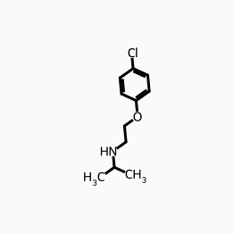 CC(C)NCCOc1ccc(Cl)cc1